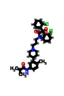 Cc1ccc(NC(=O)C(C)C)cc1C1CCN(CCCNC(=O)C(O)(c2ccccc2Cl)c2ccccc2Cl)CC1